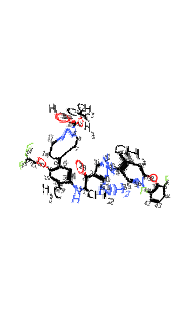 C=C(Nc1cc(C2CCN(C(=O)OC(C)(C)C)CC2)c(OCC(F)F)cc1C)C(=O)c1cnn(-c2cnc(Oc3c(F)cccc3F)cc2C)c1N